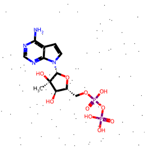 C[C@@]1(O)[C@H](O)[C@@H](COP(=O)(O)OP(=O)(O)O)O[C@H]1n1ccc2c(N)ncnc21